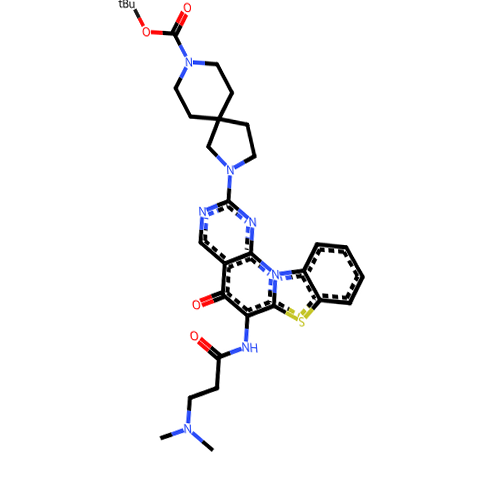 CN(C)CCC(=O)Nc1c(=O)c2cnc(N3CCC4(CCN(C(=O)OC(C)(C)C)CC4)C3)nc2n2c1sc1ccccc12